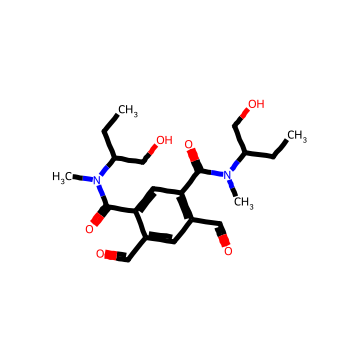 CCC(CO)N(C)C(=O)c1cc(C(=O)N(C)C(CC)CO)c(C=O)cc1C=O